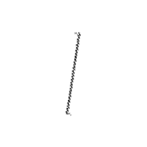 N/N=N/N=N/N=N/N=N/N=N/N=N/N=N/N=N/N=N/N=N/N=N/N=N/N=N/N=N/N=N/N=N/N=N/N=N/N=N/N=N/N=N/N=N/N=N/N=N/N=N/N=N/N=N/N